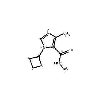 Cc1ncn(C2CCC2)c1C(=O)NN